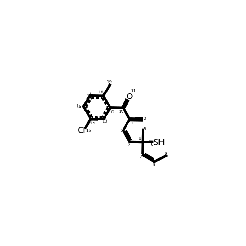 C=C(/C=C\C(C)(S)/C=C\C)C(=O)c1cc(Cl)ccc1C